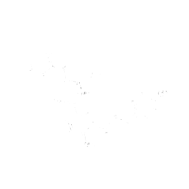 Nc1ccc(C(=O)NC(CCc2ccccc2)C(=O)O)cc1OCCc1ccc(O)cc1